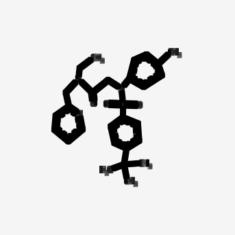 CCN(Cc1ccccn1)C(=O)CN(c1ccc(C)cc1)S(=O)(=O)c1ccc(C(C)(C)C)cc1